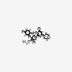 C[C@@H]1[C@@H]2CN(c3nc(N4CCOCC4)cc(=O)[nH]3)[C@@H](Cc3ccc(F)cc3)[C@H]12